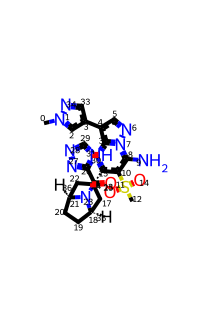 Cn1cc(-c2cnn3c(N)c(S(C)(=O)=O)c([C@@H]4C[C@H]5CC[C@@H](C4)N5C(=O)c4nnc[nH]4)nc23)cn1